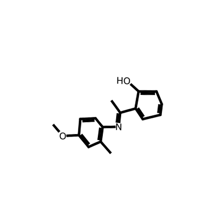 COc1ccc(/N=C(\C)c2ccccc2O)c(C)c1